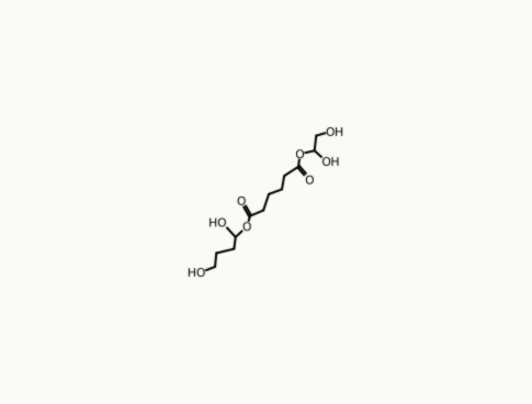 O=C(CCCCC(=O)OC(O)CCCO)OC(O)CO